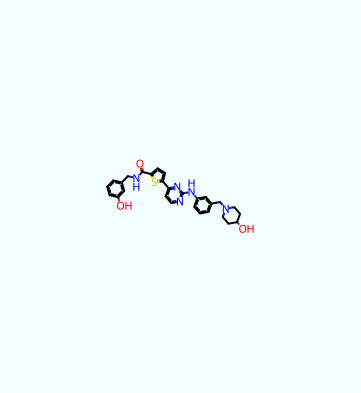 O=C(NCc1cccc(O)c1)c1ccc(-c2ccnc(Nc3cccc(CN4CCC(O)CC4)c3)n2)s1